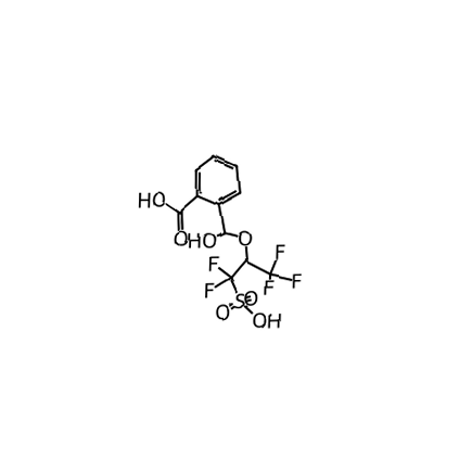 O=C(O)c1ccccc1C(O)OC(C(F)(F)F)C(F)(F)S(=O)(=O)O